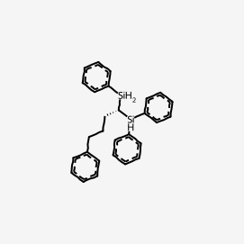 c1ccc(CCC[C@H]([SiH2]c2ccccc2)[SiH](c2ccccc2)c2ccccc2)cc1